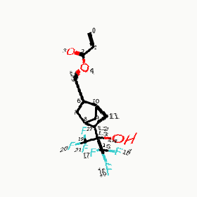 C=CC(=O)OCC1CC2CC1CC2C(O)(C(F)(F)F)C(F)(F)F